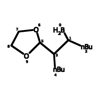 BC(CCCC)C(CCCC)C1OCCO1